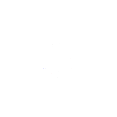 O=C1c2c(c(-c3cccnc3O)c3cccnc3c2O)CN1Cc1ccc(F)cc1